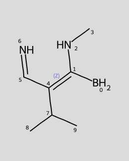 B/C(NC)=C(/C=N)C(C)C